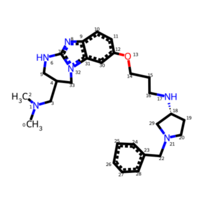 CN(C)CC1CNc2nc3ccc(OCCCN[C@@H]4CCN(Cc5ccccc5)C4)cc3n2C1